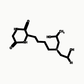 CCC(O)CN(CCCCC1NC(=O)CNC1=O)CC(C)O